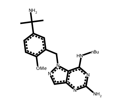 CCCCNc1nc(N)nc2cnn(Cc3cc(C(C)(C)N)ccc3OC)c12